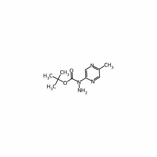 Cc1cnc(N(N)C(=O)OC(C)(C)C)cn1